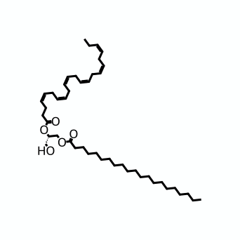 CC/C=C\C/C=C\C/C=C\C/C=C\C/C=C\C/C=C\CCC(=O)O[C@@H](CO)COC(=O)CCCCCCCCCCCCCCCCCCCC